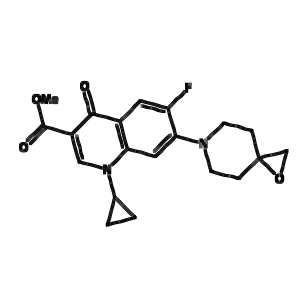 COC(=O)c1cn(C2CC2)c2cc(N3CCC4(CC3)CO4)c(F)cc2c1=O